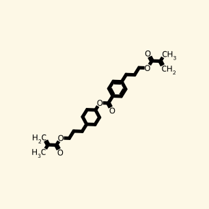 C=C(C)C(=O)OCCCc1ccc(C(=O)OC2CCC(CCCOC(=O)C(=C)C)CC2)cc1